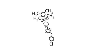 Cc1cc(C)c(C)c(S(=O)(=O)C2CCN(c3nc(Cc4ccc(Cl)cc4)cs3)CC2)c1C